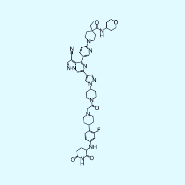 CCC1(C(=O)NC2CCOCC2)CCN(c2ccc(-c3nc(-c4cnn(C5CCN(C(=O)CN6CCC(c7ccc(NC8CCC(=O)NC8=O)cc7F)CC6)CC5)c4)cn4ncc(C#N)c34)cn2)CC1